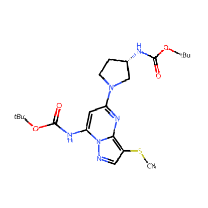 CC(C)(C)OC(=O)Nc1cc(N2CC[C@H](NC(=O)OC(C)(C)C)C2)nc2c(SC#N)cnn12